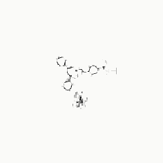 CNC.O=C(O)c1ccc(C=Cc2cc(-c3ccccc3)cc(-c3ccccc3)[o+]2)cc1.[O-][Cl+3]([O-])([O-])[O-]